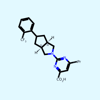 CC(C)c1cc(C(=O)O)nc(N2C[C@H]3CC(c4ccccc4C(F)(F)F)C[C@H]3C2)n1